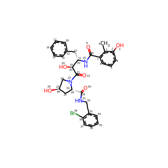 Cc1c(O)cccc1C(=O)N[C@@H](Cc1ccccc1)[C@H](O)C(=O)N1C[C@H](O)C[C@H]1C(=O)NCc1ccccc1Br